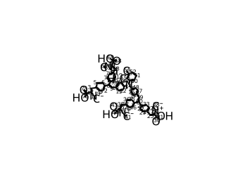 [C-]#[N+]/C(=C\c1ccc(C(=Cc2ccc(N(c3ccc(C=C(c4ccc(/C=C(\[N+]#[C-])C(=O)O)cc4)c4ccc(/C=C(\[N+]#[C-])C(=O)O)cc4)cc3)c3cccc(C)c3C)cc2)c2ccc(/C=C(\[N+]#[C-])C(=O)O)cc2)cc1)C(=O)O